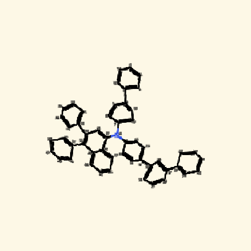 c1ccc(-c2ccc(N(c3ccc(-c4cccc(-c5ccccc5)c4)cc3)c3cc(-c4ccccc4)c(-c4ccccc4)c4ccccc34)cc2)cc1